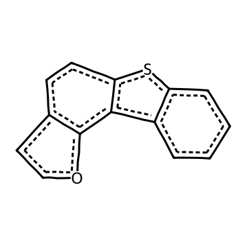 c1ccc2c(c1)sc1ccc3ccoc3c12